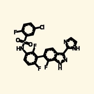 O=S(=O)(Nc1ccc(F)c(-c2ccc3c(-c4ncc[nH]4)n[nH]c3c2F)c1F)c1cc(Cl)ccc1F